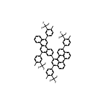 Cc1ccc(-c2cc3c4ccc(-c5cc(-c6ccc(C)c(C(F)(F)F)c6)c6cccc7c8cccc9c(-c%10ccc(C)c(C(F)(F)F)c%10)ccc(c5c67)c98)cc4c(-c4ccc(C)c(C(F)(F)F)c4)cc3c3ccccc23)cc1C(F)(F)F